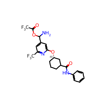 NC(OC(=O)C(F)(F)F)c1cc(O[C@H]2CCCC(C(=O)Nc3ccccc3)C2)nc(C(F)(F)F)c1